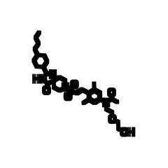 CCCCC1CCC(C2=NC3(CCN(S(=O)(=O)C=Cc4c(C)cc(N(CCOCCO)C(C)=O)cc4C)CC3)C(=O)N2)CC1